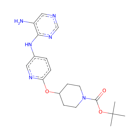 CC(C)(C)OC(=O)N1CCC(Oc2ccc(Nc3ncncc3N)cn2)CC1